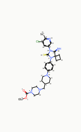 CC(C)(C)OC(=O)N1CCN(CC2CCN(c3ccc(N4C(=S)N(c5cnc(C#N)c(Cl)c5)C(=N)C45CCC5)cc3)CC2)CC1